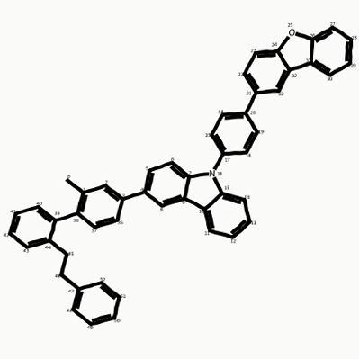 Cc1cc(-c2ccc3c(c2)c2ccccc2n3-c2ccc(-c3ccc4oc5ccccc5c4c3)cc2)ccc1-c1ccccc1CCc1ccccc1